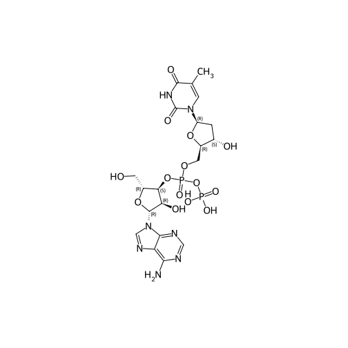 Cc1cn([C@H]2C[C@H](O)[C@@H](COP(=O)(O[C@H]3[C@@H](O)[C@H](n4cnc5c(N)ncnc54)O[C@@H]3CO)OP(=O)(O)O)O2)c(=O)[nH]c1=O